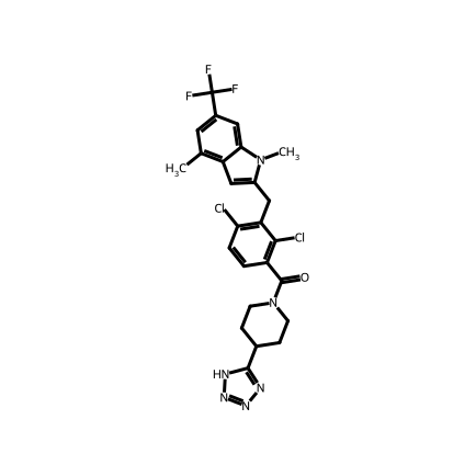 Cc1cc(C(F)(F)F)cc2c1cc(Cc1c(Cl)ccc(C(=O)N3CCC(c4nnn[nH]4)CC3)c1Cl)n2C